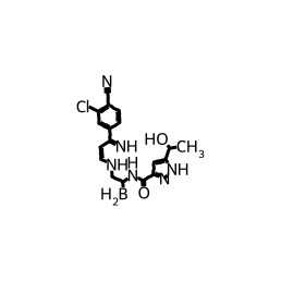 BC(CN/C=C\C(=N)c1ccc(C#N)c(Cl)c1)NC(=O)c1cc(C(C)O)[nH]n1